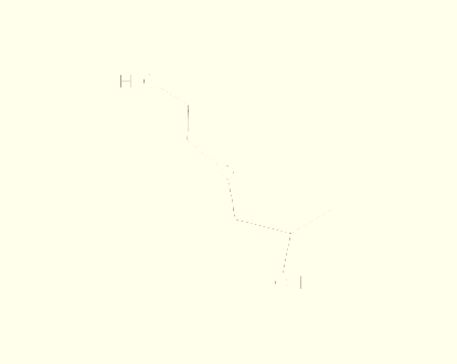 CCCOCC(O)I